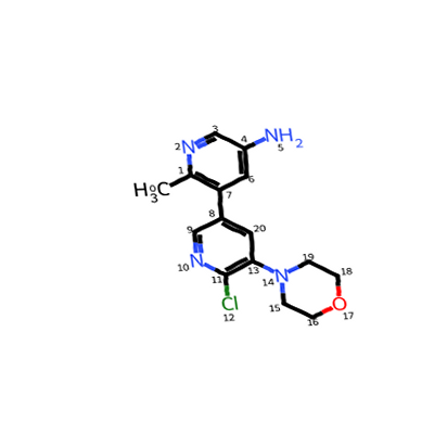 Cc1ncc(N)cc1-c1cnc(Cl)c(N2CCOCC2)c1